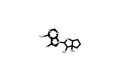 Nc1ncnc2c1c(F)cn2C1OC2CCCC2(O)C1O